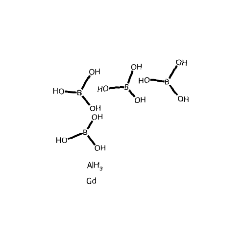 OB(O)O.OB(O)O.OB(O)O.OB(O)O.[AlH3].[Gd]